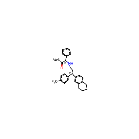 CNC(=O)[C@H](NCC[C@H](c1ccc(C(F)(F)F)cc1)c1ccc2c(c1)CCCC2)c1ccccc1